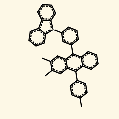 Cc1ccc(-c2c3ccccc3c(-c3cccc(-n4c5ccccc5c5ccccc54)c3)c3cc(C)c(C)cc23)cc1